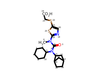 CN(C(=O)N(C1CCCCC1)C1CC2CCC1C2)c1ncc(SCC(=O)O)s1